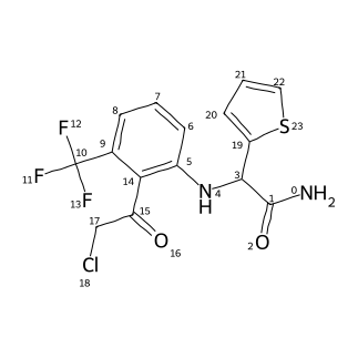 NC(=O)C(Nc1cccc(C(F)(F)F)c1C(=O)CCl)c1cccs1